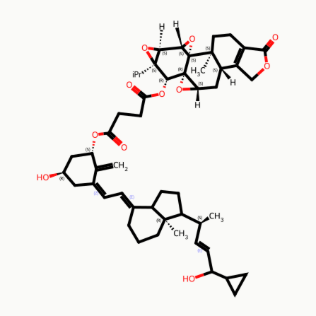 C=C1/C(=C\C=C2/CCC[C@@]3(C)C2CCC3[C@@H](C)/C=C/C(O)C2CC2)C[C@@H](O)C[C@@H]1OC(=O)CCC(=O)O[C@@H]1[C@@]2(C(C)C)O[C@H]2[C@@H]2O[C@]23[C@]12O[C@H]2C[C@H]1C2=C(CC[C@@]13C)C(=O)OC2